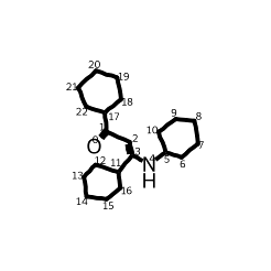 O=C(C=C(NC1CCCCC1)C1CCCCC1)C1CCCCC1